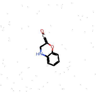 O=C=C1CNc2ccccc2O1